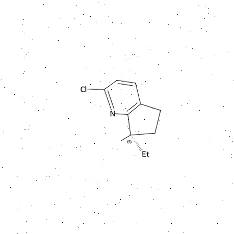 CC[C@@]1(C)CCc2ccc(Cl)nc21